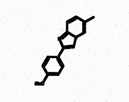 COc1ccc(-c2cn3cc(C)ccc3n2)cc1